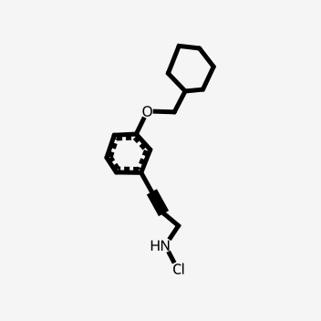 ClNCC#Cc1cccc(OCC2CCCCC2)c1